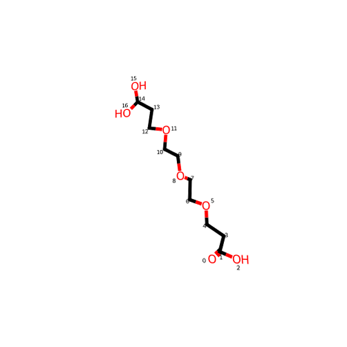 O=C(O)CCOCCOCCOCCC(O)O